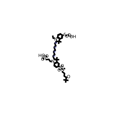 CCN1/C(=C/C=C/C=C/C=C/C2=[N+](CCCS(=O)(=O)O)c3ccc(S(=O)(=O)N(C)CCCC(=O)C(C)(C)C)cc3C2(C)C)C(C)(C)c2cc(SOOO)ccc21